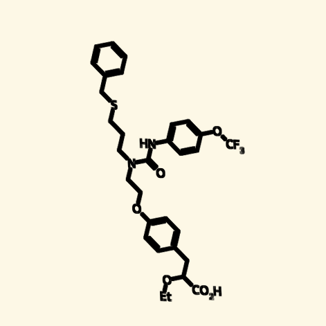 CCOC(Cc1ccc(OCCN(CCCSCc2ccccc2)C(=O)Nc2ccc(OC(F)(F)F)cc2)cc1)C(=O)O